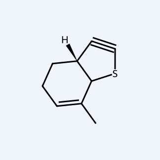 CC1=CCC[C@@H]2C#CSC12